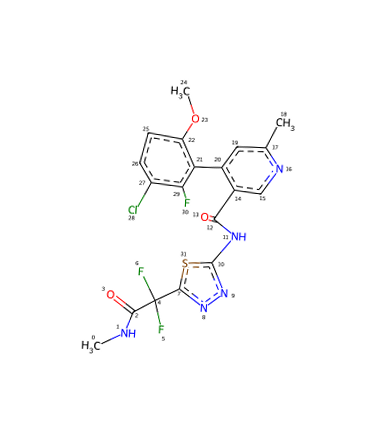 CNC(=O)C(F)(F)c1nnc(NC(=O)c2cnc(C)cc2-c2c(OC)ccc(Cl)c2F)s1